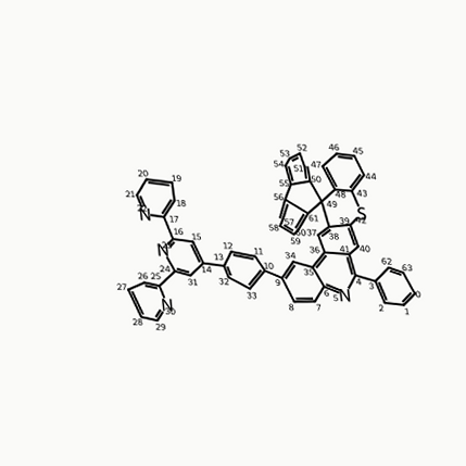 c1ccc(-c2nc3ccc(-c4ccc(-c5cc(-c6ccccn6)nc(-c6ccccn6)c5)cc4)cc3c3cc4c(cc23)Sc2ccccc2C42c3ccccc3-c3ccccc32)cc1